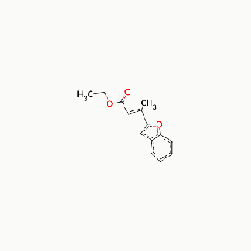 CCOC(=O)C=C(C)c1cc2ccccc2o1